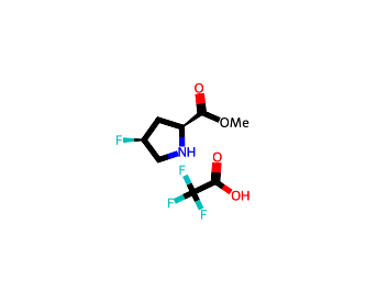 COC(=O)[C@@H]1C[C@H](F)CN1.O=C(O)C(F)(F)F